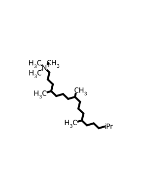 CC(C)CCCC(C)CCCC(C)CCCC(C)CCC[N+](C)(C)C